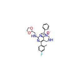 Cc1cc(F)ccc1-c1nc(NCC2OCCO2)nc2c1CNC[N+]2([O-])[C@@H](C)c1ccccc1